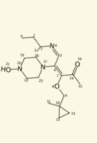 CCC(C)/N=C\C(=C(\OCC1(C)CC1)C(C)=O)N1CCN(O)CC1